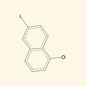 [O]c1cccc2cc(I)ccc12